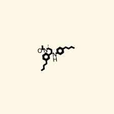 CCCCc1ccc(N[C@H]2C[C@@H](C)N(C(C)=O)c3ccc(CCCC)cc32)cc1